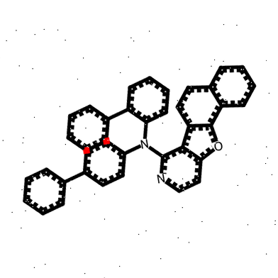 c1ccc(-c2ccc(N(c3ccccc3-c3ccccc3)c3nccc4oc5c6ccccc6ccc5c34)cc2)cc1